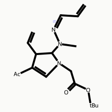 C=C/C=N\N(C)C1C(C=C)C(C(C)=O)=CN1CC(=O)OC(C)(C)C